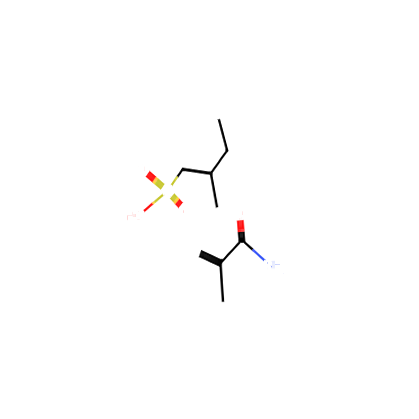 C=C(C)C(N)=O.CCC(C)CS(=O)(=O)O